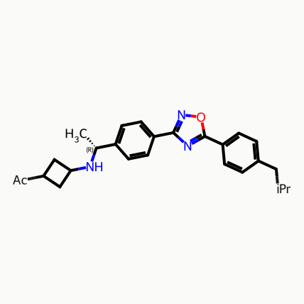 CC(=O)C1CC(N[C@H](C)c2ccc(-c3noc(-c4ccc(CC(C)C)cc4)n3)cc2)C1